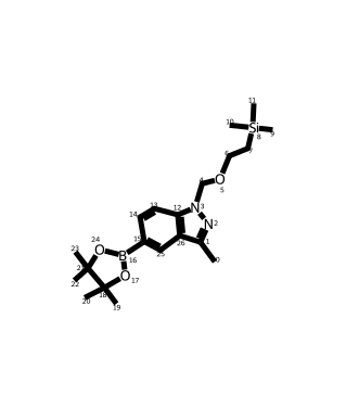 Cc1nn(COCC[Si](C)(C)C)c2ccc(B3OC(C)(C)C(C)(C)O3)cc12